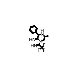 CC1CN(C(=N)C(F)(F)F)C(=N)C(c2ccccc2)N1